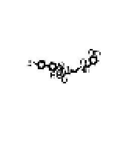 O=C(Cc1ccc2c(c1)OCO2)NCCCCC(NS(=O)(=O)c1ccc(-c2ccc(Br)cc2)cc1)C(=O)O